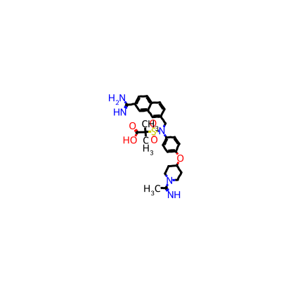 CC(=N)N1CCC(Oc2ccc(N(Cc3ccc4ccc(C(=N)N)cc4c3)S(=O)(=O)C(C)(C)C(=O)O)cc2)CC1